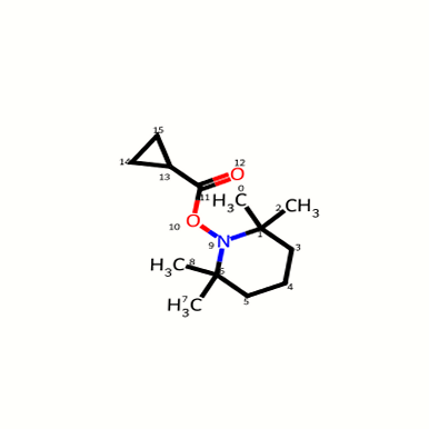 CC1(C)CCCC(C)(C)N1OC(=O)C1CC1